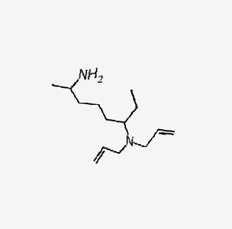 C=CCN(CC=C)C(CC)CCCC(C)N